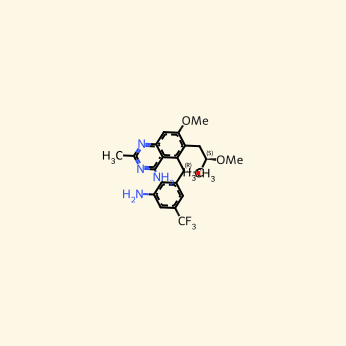 COc1cc2nc(C)nc(N)c2c([C@H](C)c2cc(N)cc(C(F)(F)F)c2)c1C[C@H](C)OC